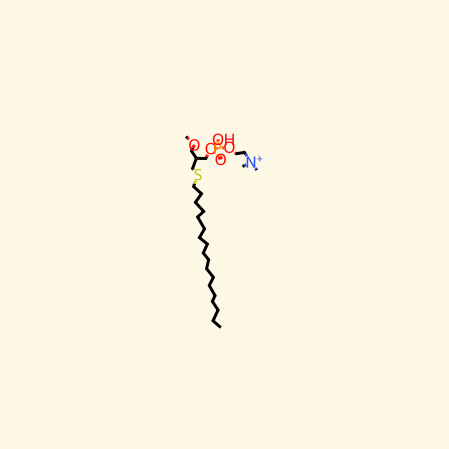 CCCCCCCCCCCCCCCCCCSCC(COC)COP(=O)(O)OCC[N+](C)(C)C